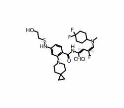 CN(/C=C(F)\C=C(/C=O)NC(=O)c1ccc(NSCCO)cc1N1CCC2(CC1)CC2)C1CCC(F)(F)CC1